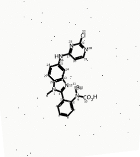 Cn1c(-c2ccccc2N(C(=O)O)C(C)(C)C)nc2cc(Nc3ccnc(Cl)n3)ccc21